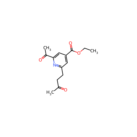 CCOC(=O)c1cc(CCC(C)=O)nc(C(C)=O)c1